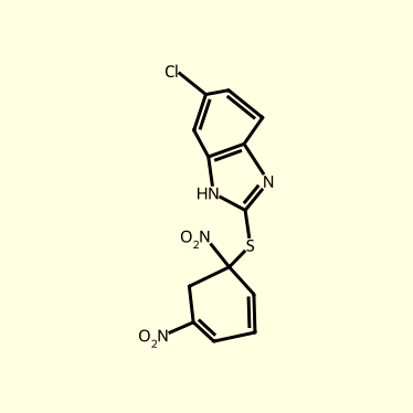 O=[N+]([O-])C1=CC=CC(Sc2nc3ccc(Cl)cc3[nH]2)([N+](=O)[O-])C1